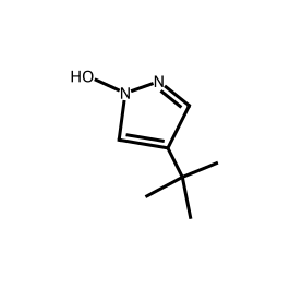 CC(C)(C)c1cnn(O)c1